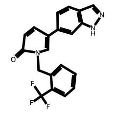 O=c1ccc(-c2ccc3cn[nH]c3c2)cn1Cc1ccccc1C(F)(F)F